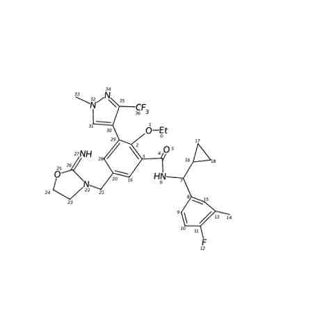 CCOc1c(C(=O)NC(c2ccc(F)c(C)c2)C2CC2)cc(CN2CCOC2=N)cc1-c1cn(C)nc1C(F)(F)F